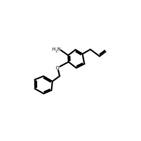 C=CCc1ccc(OCc2ccccc2)c(N)c1